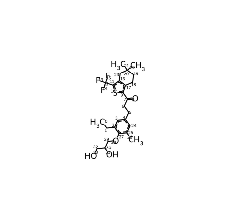 CCc1cc(CCC(=O)c2sc(C(F)(F)F)c3c2CCC(C)(C)C3)cc(C)c1OCC(O)CO